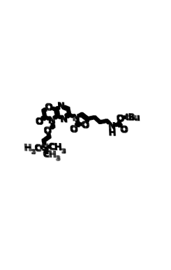 CC(C)(C)OC(=O)NCCCc1cn(-c2cnc3c(n2)N(COCC[Si](C)(C)C)C(=O)CO3)c(=O)o1